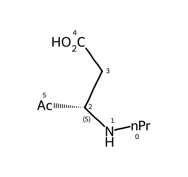 CCCN[C@@H](CC(=O)O)C(C)=O